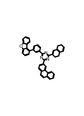 C1=CC2=C(C=C(c3nc(-c4cccc(-c5cccc6oc7ccccc7c56)c4)nc(-c4ccc5ccc6ccccc6c5c4)n3)CC2)CC1